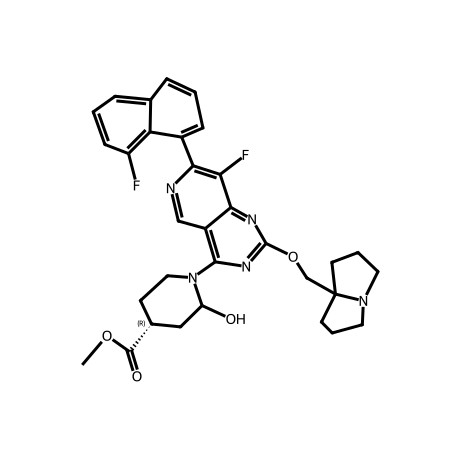 COC(=O)[C@@H]1CCN(c2nc(OCC34CCCN3CCC4)nc3c(F)c(-c4cccc5cccc(F)c45)ncc23)C(O)C1